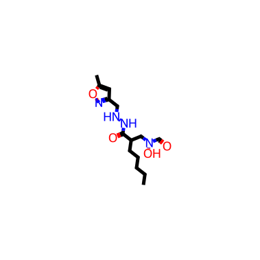 CCCCCC(CN(O)C=O)C(=O)NNCc1cc(C)on1